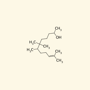 CC(C)=CCCC(C)C(C)(C)CCCC(C)O